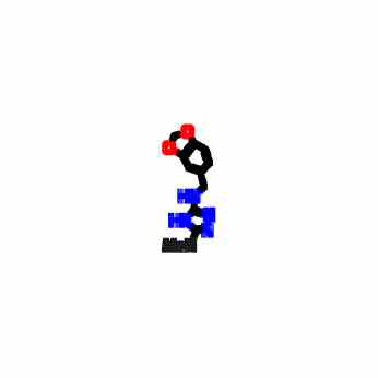 CNc1nnc(NCc2ccc3c(c2)OCO3)[nH]1